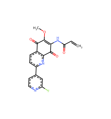 C=CC(=O)NC1=C(OC)C(=O)c2ccc(-c3ccnc(F)c3)nc2C1=O